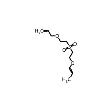 C=CCOCCS(=O)(=O)CCOC=CC